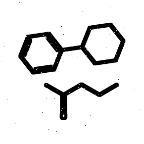 CCCC(C)=O.c1ccc(C2CCCCC2)cc1